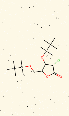 CC(C)(C)[Si](C)(C)OCC1OC(=O)[C@@H](Cl)C1O[Si](C)(C)C(C)(C)C